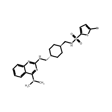 CN(C)c1nc(NC[C@H]2CC[C@H](CNS(=O)(=O)c3ccc(Br)s3)CC2)nc2ccccc12